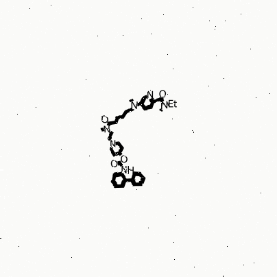 CCN(C)C(=O)c1ccc(N(C)CCCCCC(=O)N(C)CCN2CCC(OC(=O)Nc3ccccc3-c3ccccc3)CC2)cn1